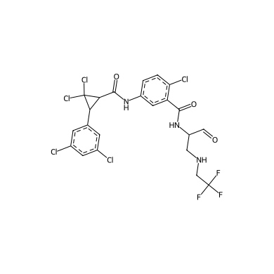 O=CC(CNCC(F)(F)F)NC(=O)c1cc(NC(=O)C2C(c3cc(Cl)cc(Cl)c3)C2(Cl)Cl)ccc1Cl